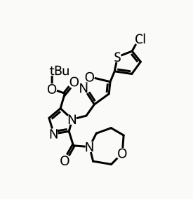 CC(C)(C)OC(=O)c1cnc(C(=O)N2CCCOCC2)n1Cc1cc(-c2ccc(Cl)s2)on1